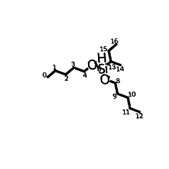 CCCCCO[SiH](OCCCCC)C(C)CC